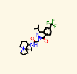 CC(C)c1nn(CC(=O)N[C@H]2CCCN3CCC[C@@H]23)c(=O)c2ccc(C(F)(F)F)cc12